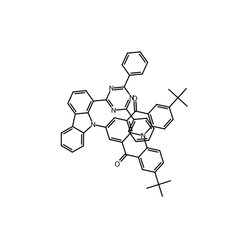 CC(C)(C)c1ccc2c(c1)c(=O)c1cc(-n3c4ccccc4c4cccc(-c5nc(-c6ccccc6)nc(-c6ccccc6)n5)c43)cc3c(=O)c4cc(C(C)(C)C)ccc4n2c13